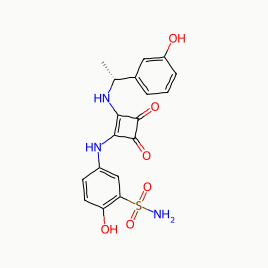 C[C@@H](Nc1c(Nc2ccc(O)c(S(N)(=O)=O)c2)c(=O)c1=O)c1cccc(O)c1